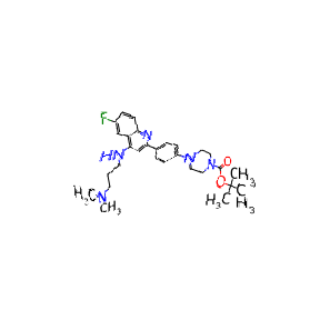 CN(C)CCCNc1cc(-c2ccc(N3CCN(C(=O)OC(C)(C)C)CC3)cc2)nc2ccc(F)cc12